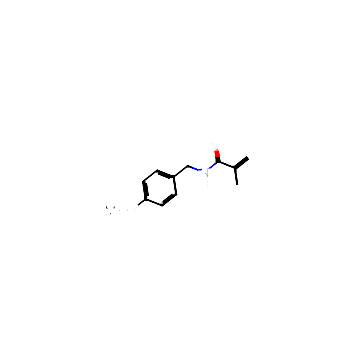 C=C(C)C(=O)NCc1ccc(OC)cc1